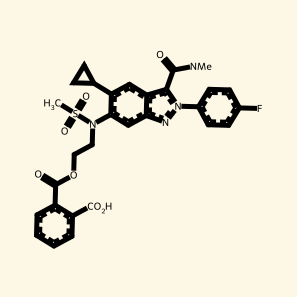 CNC(=O)c1c2cc(C3CC3)c(N(CCOC(=O)c3ccccc3C(=O)O)S(C)(=O)=O)cc2nn1-c1ccc(F)cc1